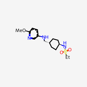 CCS(=O)(=O)N[C@H]1CC[C@H](CNc2ccc(OC)nc2)CC1